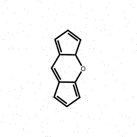 [C]1=CC=C2OC3C=CC=C3C=C12